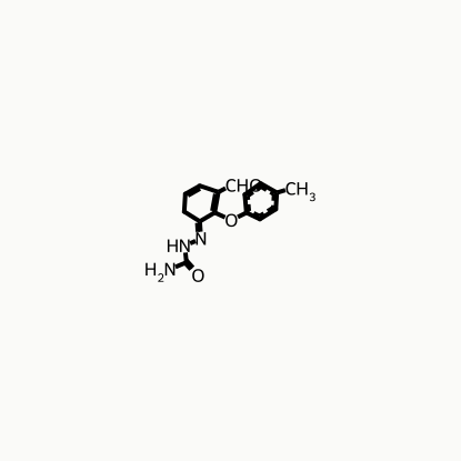 Cc1ccc(OC2=C(C=O)C=CCC2=NNC(N)=O)cc1